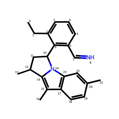 CCc1cccc(C=N)c1C1CC(C)c2c(C)c3ccc(C)cc3n21